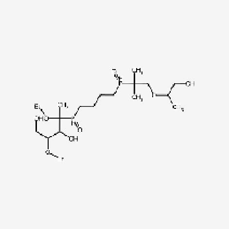 CCOC(CO)C(O)C(C)(OCC)[PH](=O)CCCC[PH](=O)C(C)(C)COC(C)CO